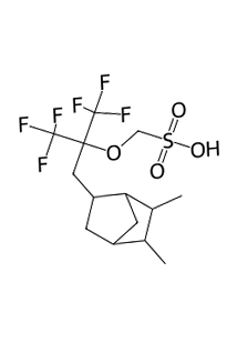 CC1C2CC(CC(OCS(=O)(=O)O)(C(F)(F)F)C(F)(F)F)C(C2)C1C